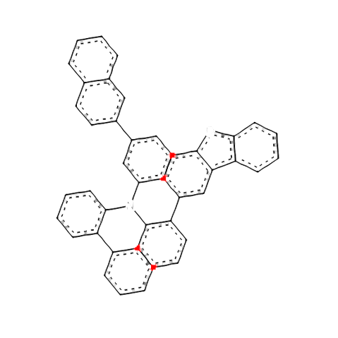 c1ccc(-c2ccccc2N(c2cccc(-c3ccc4ccccc4c3)c2)c2ccccc2-c2ccc3oc4ccccc4c3c2)cc1